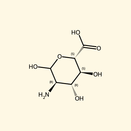 N[C@H]1C(O)O[C@H](C(=O)O)[C@@H](O)[C@@H]1O